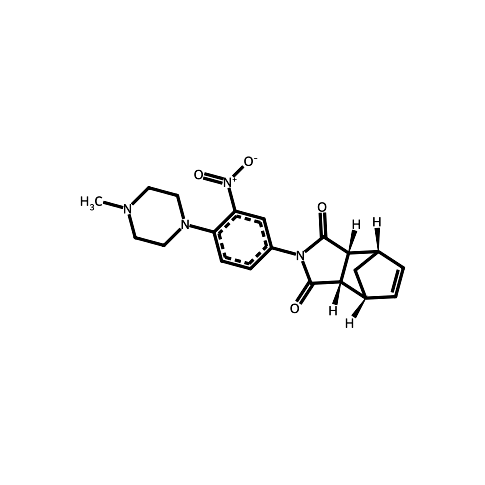 CN1CCN(c2ccc(N3C(=O)[C@@H]4[C@H](C3=O)[C@@H]3C=C[C@H]4C3)cc2[N+](=O)[O-])CC1